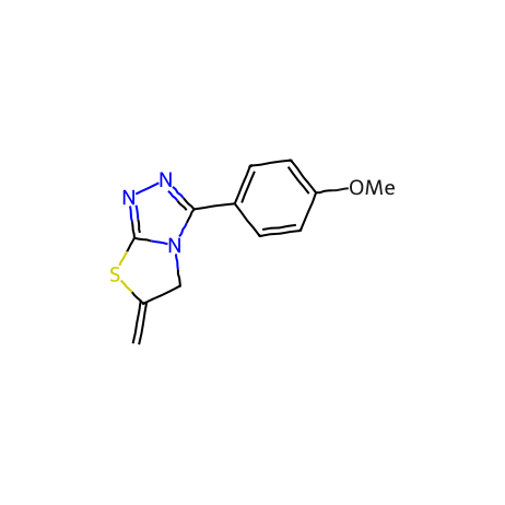 C=C1Cn2c(nnc2-c2ccc(OC)cc2)S1